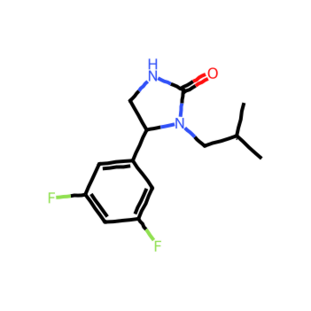 C[C](C)CN1C(=O)NCC1c1cc(F)cc(F)c1